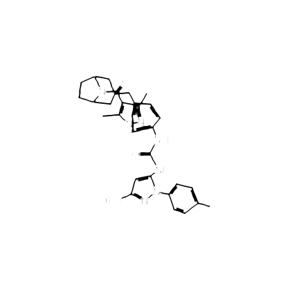 Cc1ccc(-n2nc(C(C)(C)C)cc2NC(=O)Nc2ccc(CC3CC4CCC(C3)N4C(=O)c3c(C)n[nH]c3C)cc2)cc1